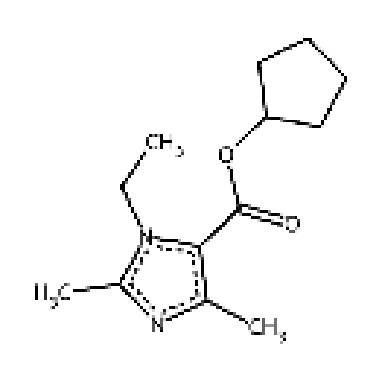 CCn1c(C)nc(C)c1C(=O)OC1CCCC1